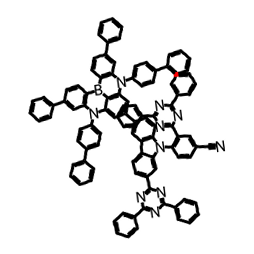 N#Cc1ccc(-n2c3ccc(-c4cc5c6c(c4)N(c4ccc(-c7ccccc7)cc4)c4cc(-c7ccccc7)ccc4B6c4ccc(-c6ccccc6)cc4N5c4ccc(-c5ccccc5)cc4)cc3c3ccc(-c4nc(-c5ccccc5)nc(-c5ccccc5)n4)cc32)c(-c2nc(-c3ccccc3)nc(-c3ccccc3)n2)c1